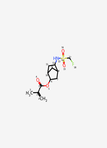 C=C(C)C(=O)OC1CC2CC1CC2NS(=O)(=O)CF